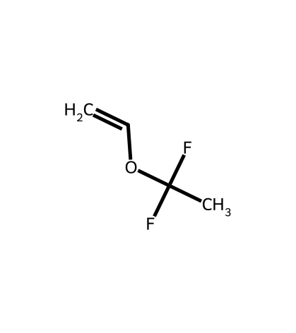 C=COC(C)(F)F